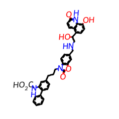 O=C(O)Nc1cc(CCCn2c(=O)oc3cc(CNCC(O)c4ccc(O)c5[nH]c(=O)ccc45)ccc32)ccc1-c1ccccc1